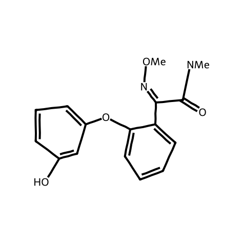 CNC(=O)/C(=N\OC)c1ccccc1Oc1cccc(O)c1